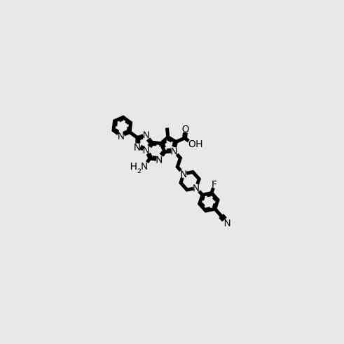 Cc1c(C(=O)O)n(CCN2CCN(c3ccc(C#N)cc3F)CC2)c2nc(N)n3nc(-c4ccccn4)nc3c12